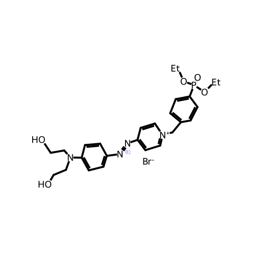 CCOP(=O)(OCC)c1ccc(C[n+]2ccc(/N=N/c3ccc(N(CCO)CCO)cc3)cc2)cc1.[Br-]